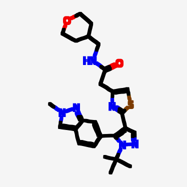 Cn1cc2ccc(-c3c(-c4nc(CC(=O)NCC5CCOCC5)cs4)cnn3C(C)(C)C)cc2n1